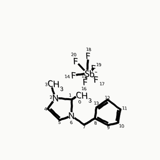 CC1N(C)C=CN1Cc1ccccc1.[F][Sb-]([F])([F])([F])([F])[F]